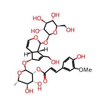 COc1cc(/C=C/C(=O)O[C@H]2[C@H](O[C@@H]3C=C(CO)[C@H]4[C@H](O[C@@H]5O[C@H](CO)[C@@H](O)[C@H](O)[C@H]5O)OC=C[C@H]43)O[C@@H](C)[C@H](O)[C@H]2O)ccc1O